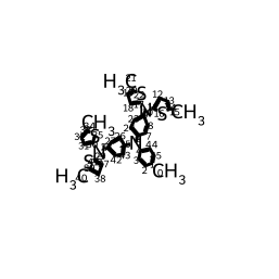 Cc1ccc(N(c2ccc(N(c3ccc(C)s3)c3ccc(C)s3)cc2)c2ccc(N(c3ccc(C)s3)c3ccc(C)s3)cc2)cc1